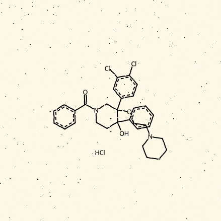 Cl.O=C(c1ccccc1)N1CCC(O)(c2ccccc2)C(OCCN2CCCCC2)(c2ccc(Cl)c(Cl)c2)C1